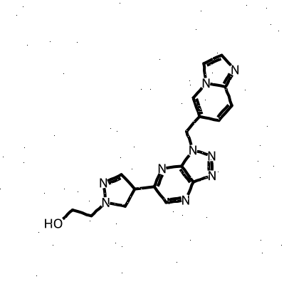 OCCN1CC(c2cnc3nnn(Cc4ccc5nccn5c4)c3n2)C=N1